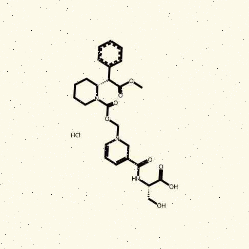 COC(=O)C(c1ccccc1)[C@H]1CCCCN1C(=O)OCN1C=CC=C(C(=O)N[C@@H](CO)C(=O)O)C1.Cl